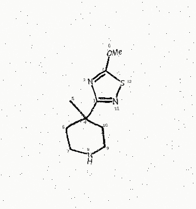 COc1nc(C2(C)CCNCC2)ns1